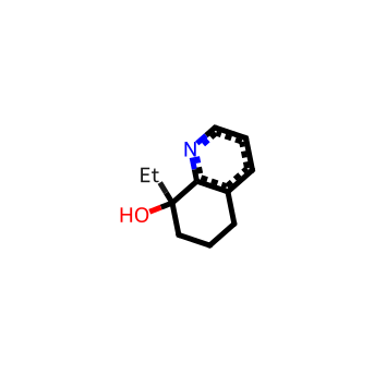 CCC1(O)CCCc2cccnc21